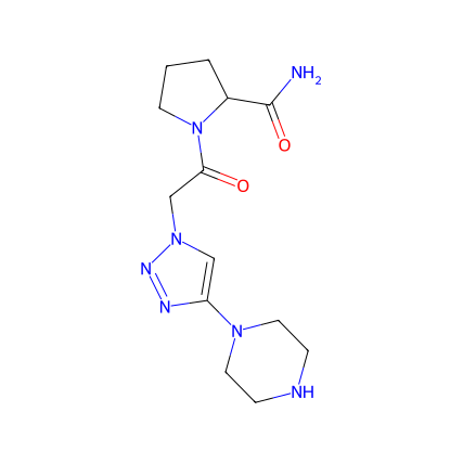 NC(=O)C1CCCN1C(=O)Cn1cc(N2CCNCC2)nn1